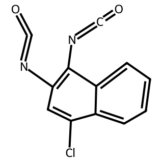 O=C=Nc1cc(Cl)c2ccccc2c1N=C=O